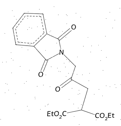 CCOC(=O)C(CC(=O)CN1C(=O)c2ccccc2C1=O)C(=O)OCC